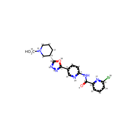 O=C(Nc1ccc(-c2nnc([C@H]3CCCN(C(=O)O)C3)o2)cn1)c1cccc(Br)n1